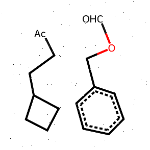 CC(=O)CCC1CCC1.O=COCc1ccccc1